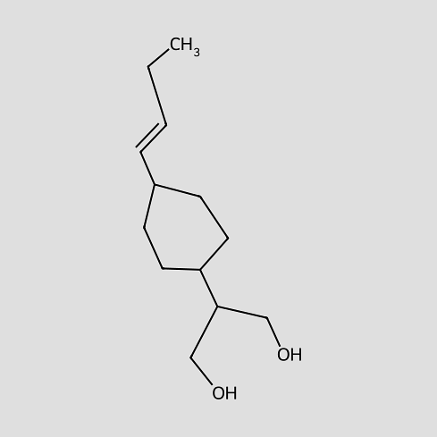 CCC=CC1CCC(C(CO)CO)CC1